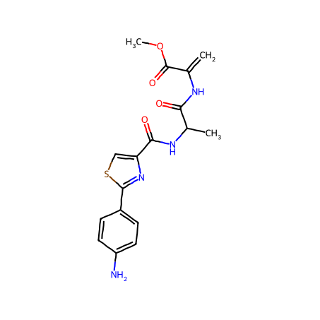 C=C(NC(=O)C(C)NC(=O)c1csc(-c2ccc(N)cc2)n1)C(=O)OC